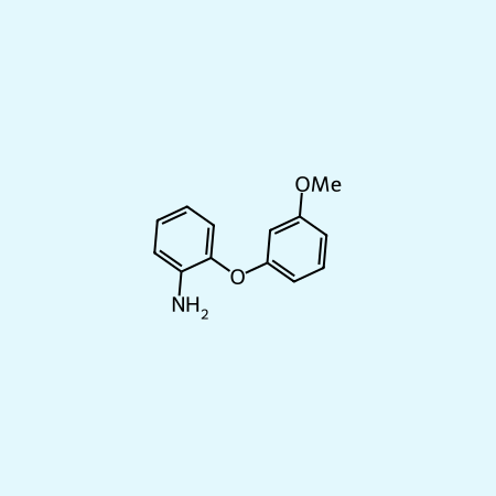 COc1cccc(Oc2ccccc2N)c1